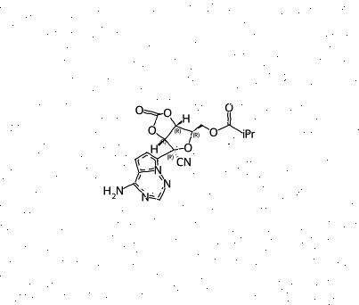 CC(C)C(=O)OC[C@H]1O[C@@](C#N)(c2ccc3c(N)ncnn23)[C@@H]2OC(=O)O[C@@H]21